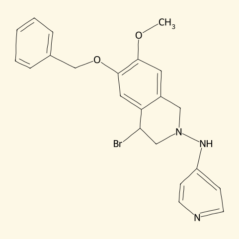 COc1cc2c(cc1OCc1ccccc1)C(Br)CN(Nc1ccncc1)C2